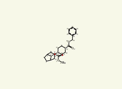 CC(C)(C)OC(=O)ON1C2CCC1CC(N1CCN(C(=O)OCc3ccccc3)CC1)C2